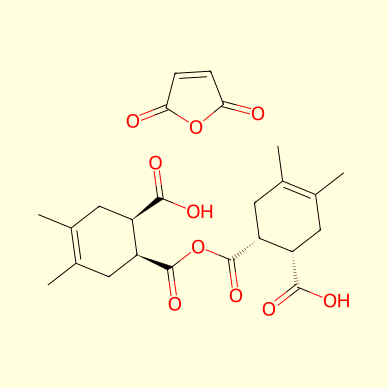 CC1=C(C)C[C@@H](C(=O)O)[C@@H](C(=O)OC(=O)[C@@H]2CC(C)=C(C)C[C@@H]2C(=O)O)C1.O=C1C=CC(=O)O1